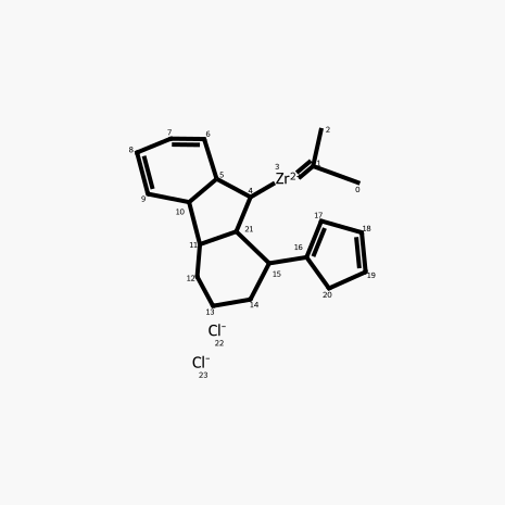 C[C](C)=[Zr+2][CH]1C2C=CC=CC2C2CCCC(C3=CC=CC3)C21.[Cl-].[Cl-]